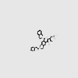 CCCCN(CCCC)C(=O)c1cc(-c2cc3c(cc2C(=O)N2Cc4ccccc4C[C@H]2C)CN(C(=O)Cc2ccc(C(=O)O)cc2)CC3)n(C)c1C